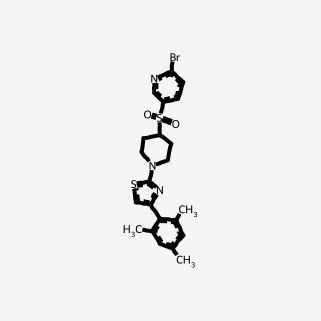 Cc1cc(C)c(-c2csc(N3CCC(S(=O)(=O)c4ccc(Br)nc4)CC3)n2)c(C)c1